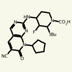 CC(C)(C)C1C(F)C(Nc2ncc3cc(C#N)c(=O)n(C4CCCC4)c3n2)CCN1C(=O)O